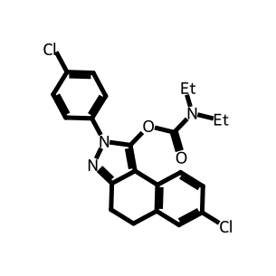 CCN(CC)C(=O)Oc1c2c(nn1-c1ccc(Cl)cc1)CCc1cc(Cl)ccc1-2